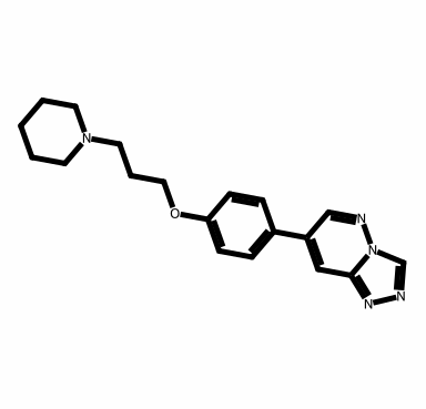 c1cc(-c2cnn3cnnc3c2)ccc1OCCCN1CCCCC1